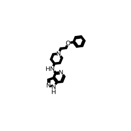 c1ccc(OCCN2CCC(Nc3nccc4[nH]ncc34)CC2)cc1